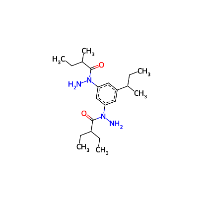 CCC(C)C(=O)N(N)c1cc(C(C)CC)cc(N(N)C(=O)C(CC)CC)c1